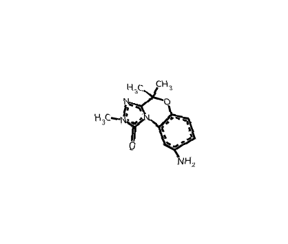 Cn1nc2n(c1=O)-c1cc(N)ccc1OC2(C)C